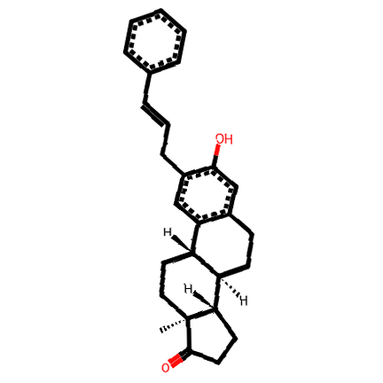 C[C@]12CC[C@@H]3c4cc(C/C=C/c5ccccc5)c(O)cc4CC[C@H]3[C@@H]1CCC2=O